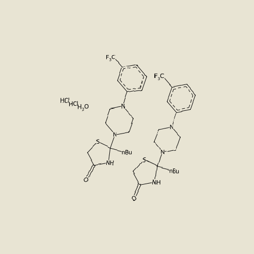 CCCCC1(N2CCN(c3cccc(C(F)(F)F)c3)CC2)NC(=O)CS1.CCCCC1(N2CCN(c3cccc(C(F)(F)F)c3)CC2)NC(=O)CS1.Cl.Cl.O